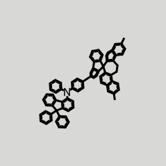 Cc1ccc2c3c(ccc2c1)C1(c2ccccc2-c2cc(-c4ccc(N(c5ccccc5)c5cccc6c5-c5ccccc5C6(c5ccccc5)c5ccccc5)cc4)ccc21)c1ccc2cc(C)ccc2c1CC3